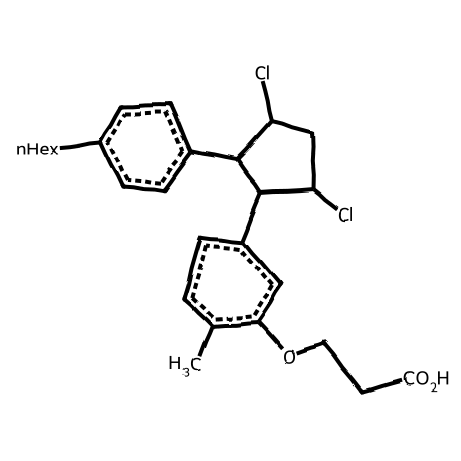 CCCCCCc1ccc(C2C(Cl)CC(Cl)C2c2ccc(C)c(OCCC(=O)O)c2)cc1